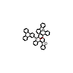 c1ccc(N(c2ccc(-c3ccccc3-n3c4ccccc4c4ccccc43)cc2)c2ccc3c4ccccc4c4ccccc4c3c2)c(-c2cccc3oc4ccccc4c23)c1